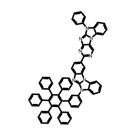 c1ccc(-c2c(-c3ccccc3)c(-c3ccccc3)c(-c3cccc(-n4c5ccccc5n5c6cc(-c7ncc8c(n7)nc7n(-c9ccccc9)c9ccccc9n87)ccc6nc45)c3)c(-c3ccccc3)c2-c2ccccc2)cc1